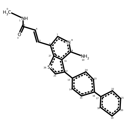 CNC(=O)/C=C/c1cnc(N)c2c(-c3ccc(-c4ccccc4)cc3)csc12